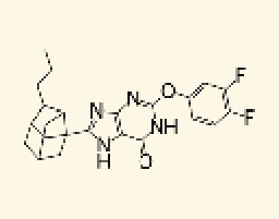 CCCC1C2CC3CC1C(c1nc4nc(Oc5ccc(F)c(F)c5)[nH]c(=O)c4[nH]1)(C3)C2